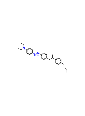 CCCCc1ccc(C(C)Cc2ccc(/N=N/c3ccc(N(CC)CC)cc3)cc2)cc1